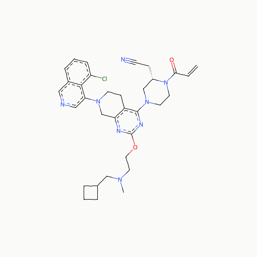 C=CC(=O)N1CCN(c2nc(OCCN(C)CC3CCC3)nc3c2CCN(c2cncc4cccc(Cl)c24)C3)C[C@@H]1CC#N